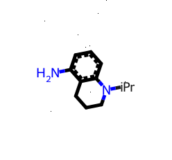 CC(C)N1CCCc2c(N)cccc21